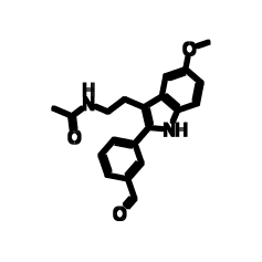 COc1ccc2[nH]c(-c3cccc(C=O)c3)c(CCNC(C)=O)c2c1